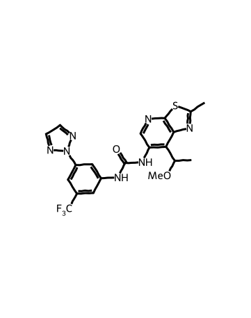 COC(C)c1c(NC(=O)Nc2cc(-n3nccn3)cc(C(F)(F)F)c2)cnc2sc(C)nc12